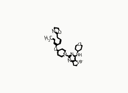 C=C/C=C(\C=C/CC1=NCCO1)OC1CCN(c2nc3c(c(NC4CCOCC4)n2)[S+]([O-])CC3)CC1